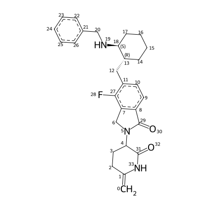 C=C1CCC(N2Cc3c(ccc(C[C@H]4CCCC[C@@H]4NCc4ccccc4)c3F)C2=O)C(=O)N1